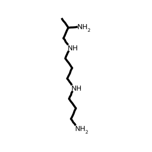 CC(N)CNCCCNCCCN